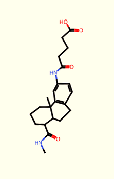 CNC(=O)C1CCCC2(C)c3cc(NC(=O)CCCC(=O)O)ccc3CCC12